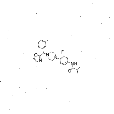 CC(C)C(=O)Nc1ccc(N2CCN(C(c3ccccc3)c3ncco3)CC2)c(F)c1